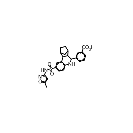 Cc1cc(NS(=O)(=O)c2ccc3c(c2)C2C4CCC(C4)C2C(c2cccc(C(=O)O)c2)N3)no1